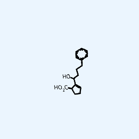 O=C(O)C1CCC=C1C(O)CCCc1ccccc1